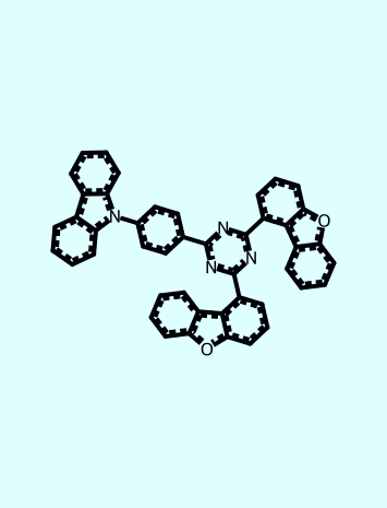 c1ccc2c(c1)oc1cccc(-c3nc(-c4ccc(-n5c6ccccc6c6ccccc65)cc4)nc(-c4cccc5oc6ccccc6c45)n3)c12